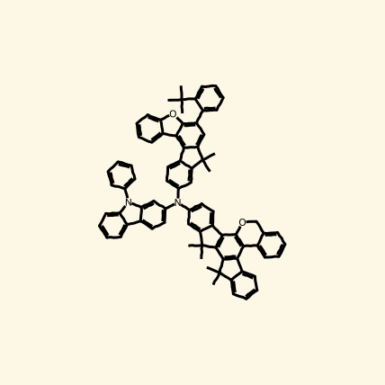 CC(C)(C)c1ccccc1-c1cc2c(c3c1oc1ccccc13)-c1ccc(N(c3ccc4c(c3)C(C)(C)c3c-4c4c(c5c3C(C)(C)c3ccccc3-5)-c3ccccc3CO4)c3ccc4c5ccccc5n(-c5ccccc5)c4c3)cc1C2(C)C